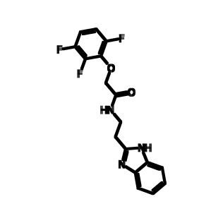 O=C(COc1c(F)ccc(F)c1F)NCCc1nc2ccccc2[nH]1